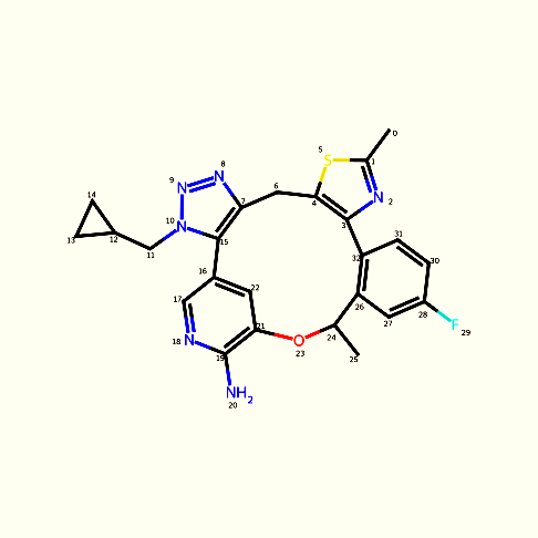 Cc1nc2c(s1)Cc1nnn(CC3CC3)c1-c1cnc(N)c(c1)OC(C)c1cc(F)ccc1-2